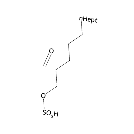 C=O.CCCCCCCCCCCCOS(=O)(=O)O